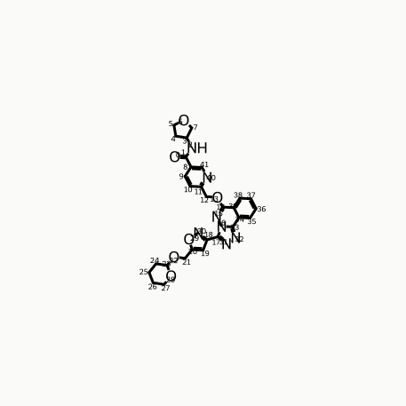 O=C(NC1CCOC1)c1ccc(COc2nn3c(-c4cc(COC5CCCCO5)on4)nnc3c3ccccc23)nc1